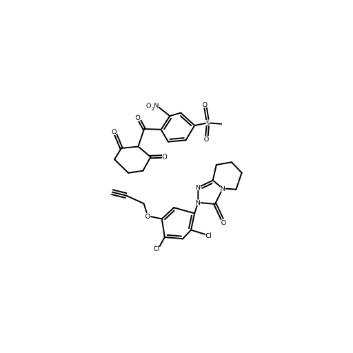 C#CCOc1cc(-n2nc3n(c2=O)CCCC3)c(Cl)cc1Cl.CS(=O)(=O)c1ccc(C(=O)C2C(=O)CCCC2=O)c([N+](=O)[O-])c1